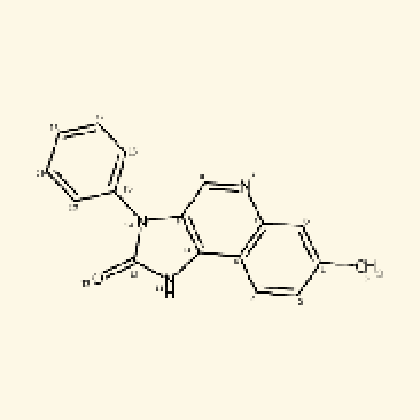 Cc1ccc2c(c1)ncc1c2[nH]c(=O)n1-c1ccccc1